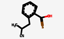 CC(C#N)Cc1ccccc1C(O)=S